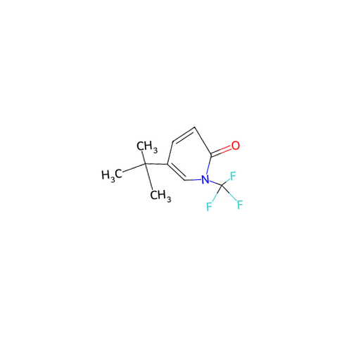 CC(C)(C)c1ccc(=O)n(C(F)(F)F)c1